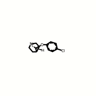 Clc1ccc(O[C@H]2CN3CCC2CC3)cc1